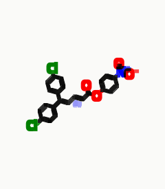 O=C(/C=C/C=C(c1ccc(Cl)cc1)c1ccc(Cl)cc1)Oc1ccc([N+](=O)[O-])cc1